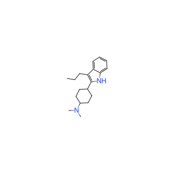 CCCc1c(C2CCC(N(C)C)CC2)[nH]c2ccccc12